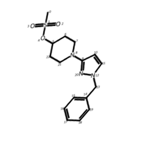 CS(=O)(=O)OC1CCN(c2ccn(Cc3ccccc3)n2)CC1